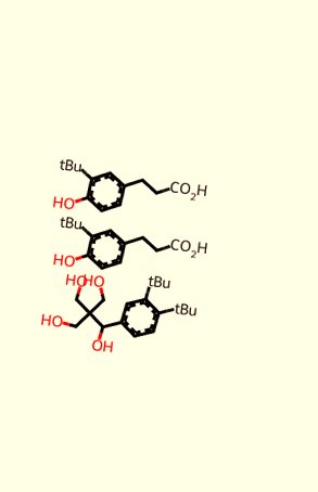 CC(C)(C)c1cc(CCC(=O)O)ccc1O.CC(C)(C)c1cc(CCC(=O)O)ccc1O.CC(C)(C)c1ccc(C(O)C(CO)(CO)CO)cc1C(C)(C)C